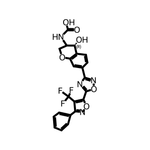 O=C(O)NC1COc2cc(-c3noc(-c4onc(-c5ccccc5)c4C(F)(F)F)n3)ccc2[C@H]1O